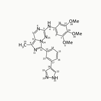 COc1cc(Nc2ncc3c(C)nc(-c4cccc(-c5cn[nH]c5)c4)n3n2)cc(OC)c1OC